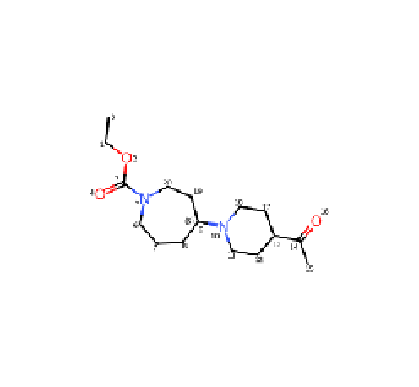 CCOC(=O)N1CCC[C@H](N2CCC(C(C)=O)CC2)CC1